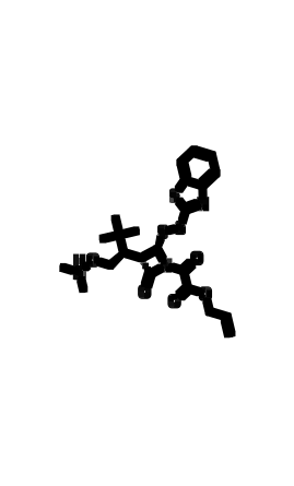 C=CCOC(=O)C(=O)N1C(=O)[C@H]([C@@H](CO[SiH](C)C)C(C)(C)C)[C@H]1SSc1nc2ccccc2s1